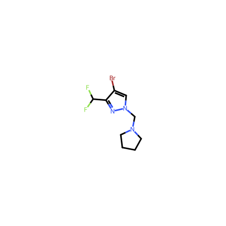 FC(F)c1nn(CN2CCCC2)cc1Br